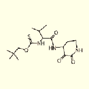 CC(C)C(NC(=S)OCC(C)(C)C)C(=O)NC1CCNC(=O)C1=O